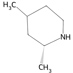 CC1CCN[C@H](C)C1